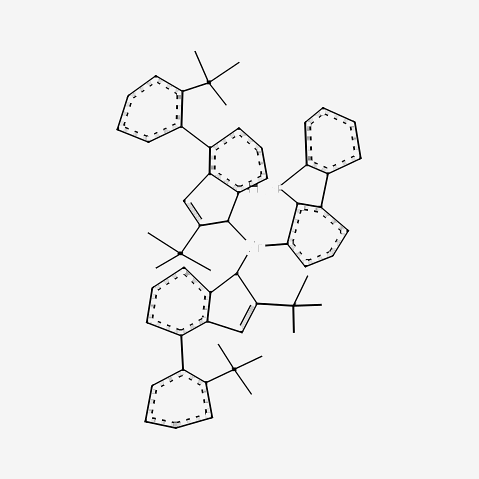 CC(C)(C)C1=Cc2c(-c3ccccc3C(C)(C)C)cccc2[CH]1[Zr]([c]1cccc2c1[SiH2]c1ccccc1-2)[CH]1C(C(C)(C)C)=Cc2c(-c3ccccc3C(C)(C)C)cccc21